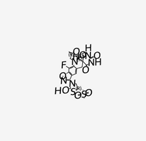 C[C@@H]1CN2c3c(cc4c(N5C[C@H](CS(C)(=O)=O)SC5O)noc4c3F)CC3(C(=O)NC(=O)NC3=O)[C@H]2[C@H](C)O1